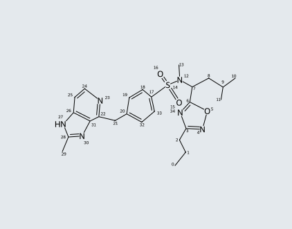 CCCc1noc(C(CC(C)C)N(C)S(=O)(=O)c2ccc(Cc3nccc4[nH]c(C)nc34)cc2)n1